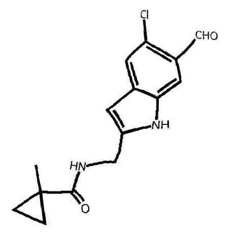 CC1(C(=O)NCc2cc3cc(Cl)c(C=O)cc3[nH]2)CC1